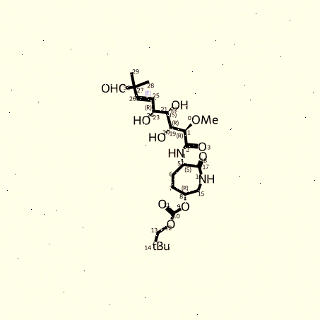 CO[C@@H](C(=O)N[C@H]1CC[C@@H](OC(=O)OCC(C)(C)C)CNC1=O)[C@H](O)[C@@H](O)[C@H](O)/C=C/C(C)(C)C=O